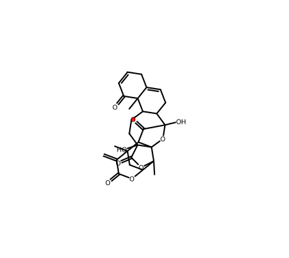 C=C1C(=O)OC2CC1(C)C1C(=O)C3(O)OC14C(O)(CCC1C3CC=C3CC=CC(=O)C31C)C(=O)OC24C